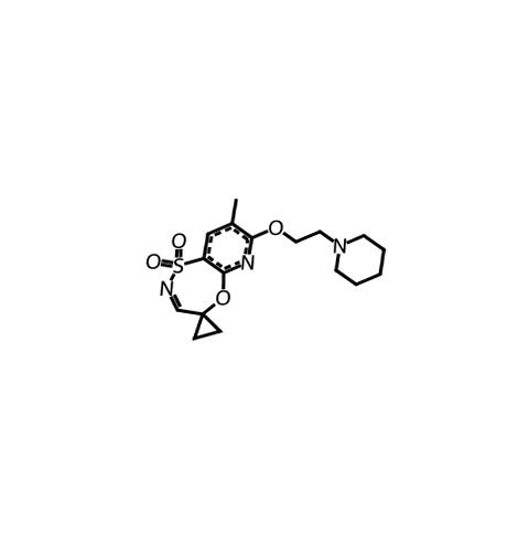 Cc1cc2c(nc1OCCN1CCCCC1)OC1(C=NS2(=O)=O)CC1